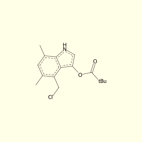 Cc1cc(C)c2[nH]cc(OC(=O)C(C)(C)C)c2c1CCl